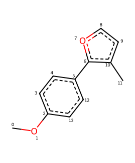 COc1ccc(-c2occc2C)cc1